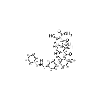 NC(=O)C1=C(O)C[C@@H]2C[C@@H]3Cc4c(-c5ccc(CNCc6ccccc6)cc5)ccc(O)c4C(=O)C3=C(O)[C@]2(O)C1=O